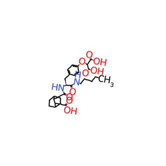 CCCCCNC(=O)[C@H](Cc1ccc(OC(C(=O)O)C(=O)O)cc1)NC(=O)C1C2CCC(CC2)C1C(=O)O